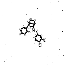 Clc1ccc(CN=C2C3CCN(CC3)C2c2ccccc2)cc1Cl